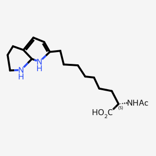 CC(=O)N[C@@H](CCCCCCCC1=CC=C2CCCNC2N1)C(=O)O